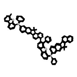 Cc1cccc2c1oc1c(N(c3ccccc3)c3ccc4cc5c(cc4c3)C(C)(C)c3c-5ccc4c(-c5ccc6c(oc7c(N(c8ccccc8)c8ccc9cc%10c(cc9c8)C(C)(C)c8c-%10ccc9ccccc89)cccc76)c5-c5ccccc5)cccc34)cccc12